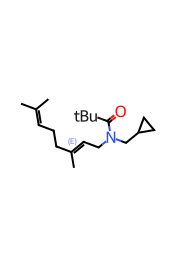 CC(C)=CCC/C(C)=C/CN(CC1CC1)C(=O)C(C)(C)C